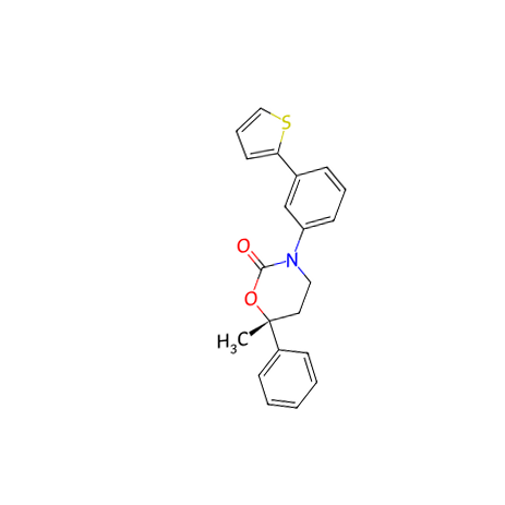 C[C@]1(c2ccccc2)CCN(c2cccc(-c3cccs3)c2)C(=O)O1